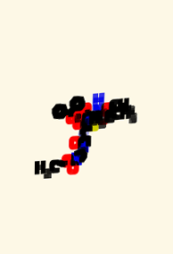 C=CCOC(=O)N1CC[C@@H](N2CC/C(=C\C3=CS[C@@H]4[C@H](NC(=O)OC(C)(C)C)C(=O)N4[C@@H]3OC(=O)OC(c3ccccc3)c3ccccc3)C2=O)C1